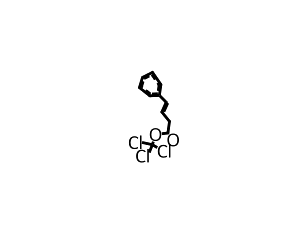 O=C(CC=Cc1ccccc1)OC(Cl)(Cl)Cl